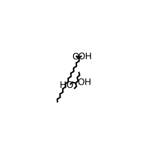 CCCC(O)C(CC)CO.CCCCCCCCCCCCCCCCCC(=O)O